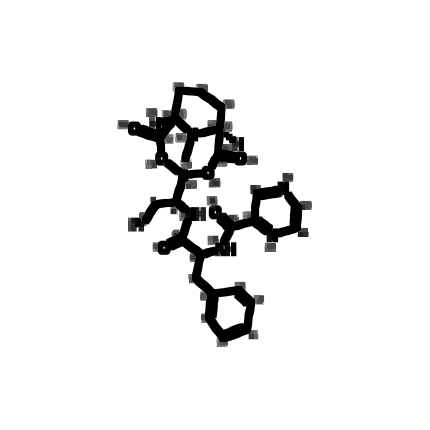 CC(C)CC(NC(=O)C(Cc1ccccc1)NC(=O)c1cnccn1)B1OC(=O)[C@@H]2CCC[C@@H](C(=O)O1)N2C